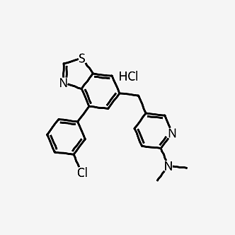 CN(C)c1ccc(Cc2cc(-c3cccc(Cl)c3)c3ncsc3c2)cn1.Cl